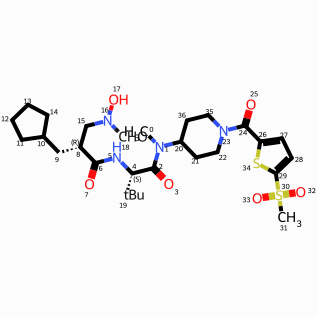 CN(C(=O)[C@@H](NC(=O)[C@H](CC1CCCC1)CN(O)C=O)C(C)(C)C)C1CCN(C(=O)c2ccc(S(C)(=O)=O)s2)CC1